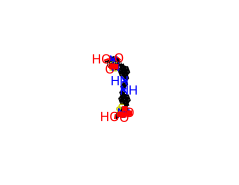 CN1C(=O)[C@]2(Cc3ccc(CNCCNCc4ccc(C[C@@]56SS[C@@](CO)(C(=O)N5C)N(C)C6=O)cc4)cc3)SS[C@@]1(CO)C(=O)N2C